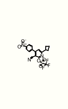 N#Cc1c(-c2ccc([N+](=O)[O-])cc2)cc(C2CCC2)nc1OS(=O)(=O)C(F)(F)F